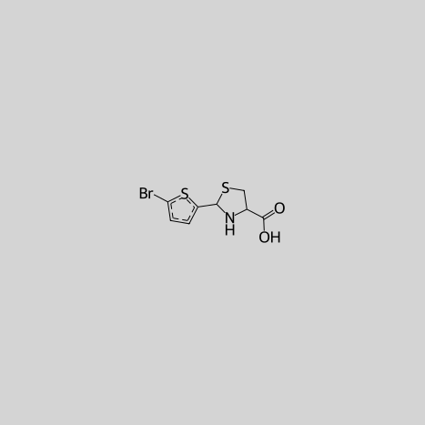 O=C(O)C1CSC(c2ccc(Br)s2)N1